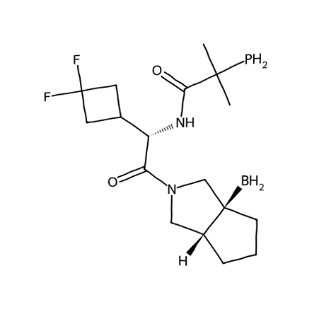 B[C@@]12CCC[C@@H]1CN(C(=O)[C@@H](NC(=O)C(C)(C)P)C1CC(F)(F)C1)C2